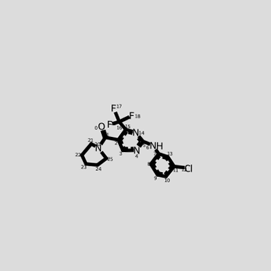 O=C(c1cnc(Nc2cccc(Cl)c2)nc1C(F)(F)F)N1CCCCC1